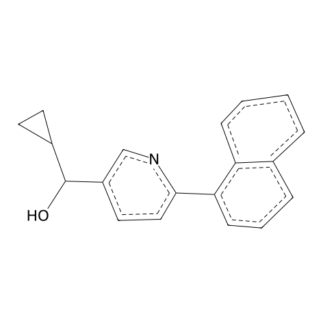 OC(c1ccc(-c2cccc3ccccc23)nc1)C1CC1